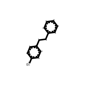 CCc1ccc(CCc2ccccc2)cc1